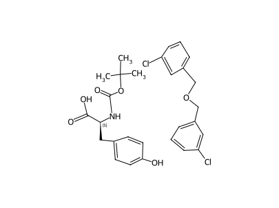 CC(C)(C)OC(=O)N[C@@H](Cc1ccc(O)cc1)C(=O)O.Clc1cccc(COCc2cccc(Cl)c2)c1